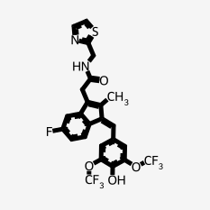 CC1=C(CC(=O)NCc2nccs2)c2cc(F)ccc2C1=Cc1cc(OC(F)(F)F)c(O)c(OC(F)(F)F)c1